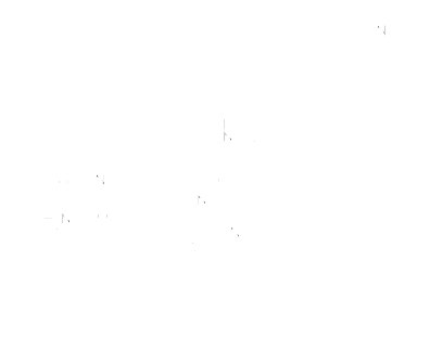 N#Cc1ccc(COC(=O)N[C@@H](CCCCNS(N)(=O)=O)C(=O)Nc2nc(-c3ccccc3)cs2)cc1